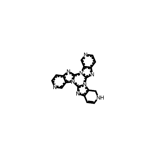 C1=Cc2nc3n(c2CN1)c1nc2ccncc2n1c1nc2ccncc2n31